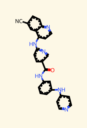 N#Cc1ccc2nccc(Nc3ccc(C(=O)Nc4cccc(Nc5ccncc5)c4)cn3)c2c1